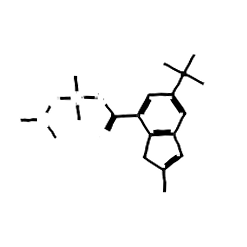 CC1=Cc2cc(C(C)(C)C)cc(C(=O)[N][Si](C)(C)O[Si](C)C)c2C1